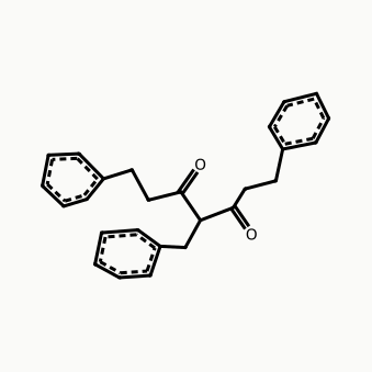 O=C(CCc1ccccc1)C(Cc1ccccc1)C(=O)CCc1ccccc1